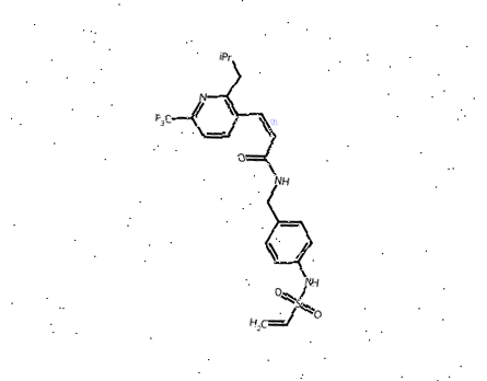 C=CS(=O)(=O)Nc1ccc(CNC(=O)/C=C\c2ccc(C(F)(F)F)nc2CC(C)C)cc1